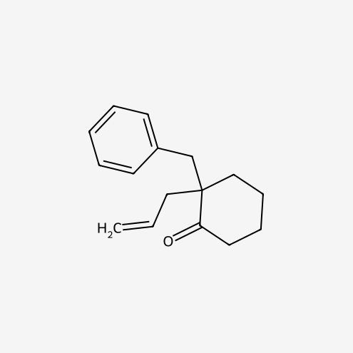 C=CCC1(Cc2ccccc2)CCCCC1=O